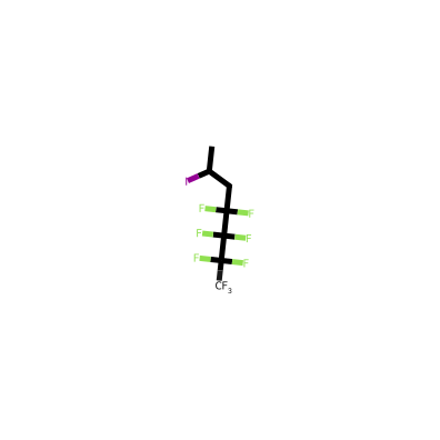 CC(I)CC(F)(F)C(F)(F)C(F)(F)C(F)(F)F